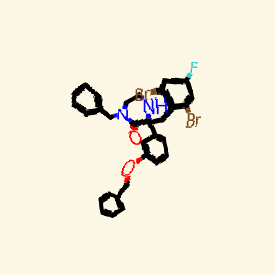 O=C1N(Cc2ccccc2)CCNC1(Cc1c(Br)cc(F)cc1Br)c1cccc(OCc2ccccc2)c1